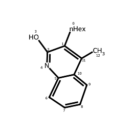 CCCCCCc1c(O)nc2ccccc2c1C